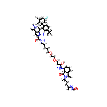 C=C(CCC(C)N1C(=C)c2cccc(NC(=O)CCOCCOCCCCCNC(=O)c3cc4c([nH]3)C(c3cc(C(C)(C)C)ccc3C3(C)C=C(F)C=C(C)C3C)=CN(C)C4=C)c2C1=O)NC=O